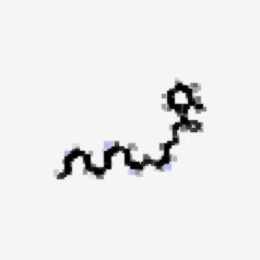 CC/C=C\C/C=C\C/C=C\C/C=C\C/C=C\CCCC(=O)N1CCCC=C1C